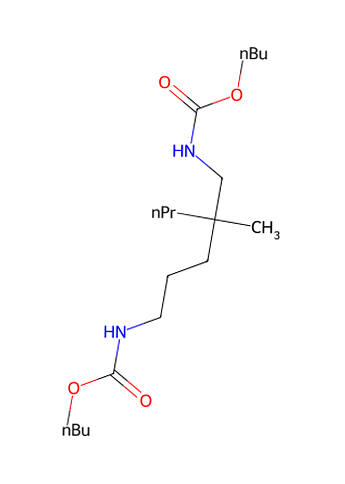 CCCCOC(=O)NCCCC(C)(CCC)CNC(=O)OCCCC